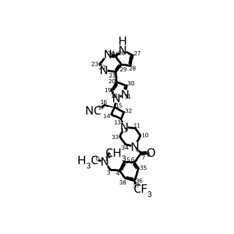 CN(C)Cc1cc(C(=O)N2CCN([C@H]3C[C@](CC#N)(n4cc(-c5ncnc6[nH]ccc56)cn4)C3)CC2)cc(C(F)(F)F)c1